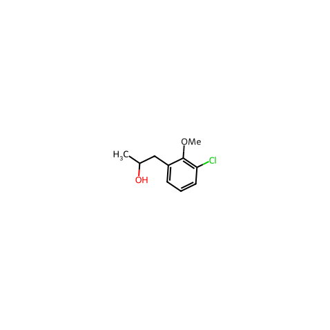 COc1c(Cl)cccc1CC(C)O